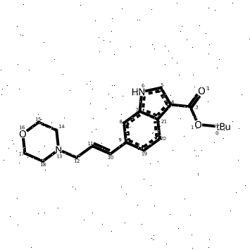 CC(C)(C)OC(=O)c1c[nH]c2cc(C=CCN3CCOCC3)ccc12